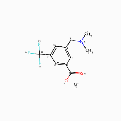 CN(C)Cc1cc(C(=O)[O-])cc(C(F)(F)F)c1.[Li+]